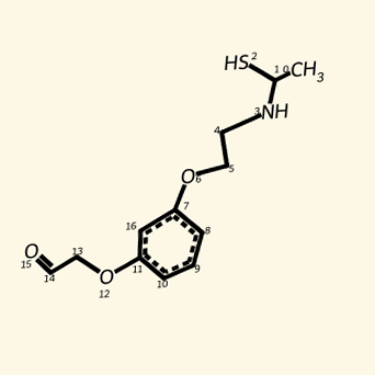 CC(S)NCCOc1cccc(OCC=O)c1